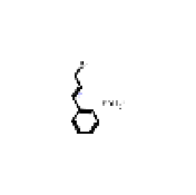 BrC/C=C/c1ccccc1.[PbH2]